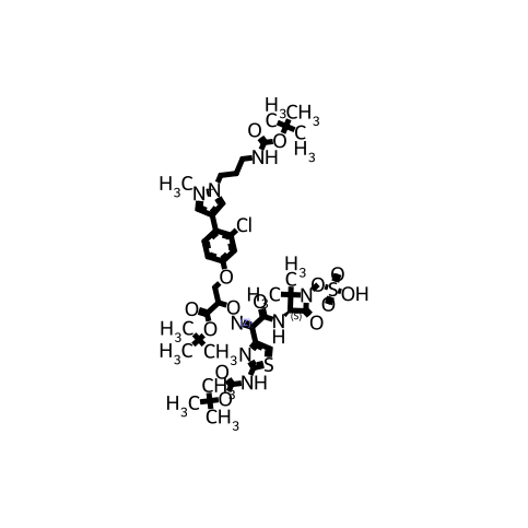 C[n+]1cc(-c2ccc(OCC(O/N=C(\C(=O)N[C@@H]3C(=O)N(OS(=O)(=O)O)C3(C)C)c3csc(NC(=O)OC(C)(C)C)n3)C(=O)OC(C)(C)C)cc2Cl)cn1CCCNC(=O)OC(C)(C)C